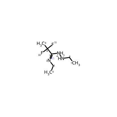 CC/N=C(\NNCC)C(C)(F)F